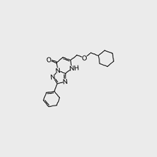 O=c1cc(COCC2CCCCC2)[nH]c2nc(C3=CC=CCC3)nn12